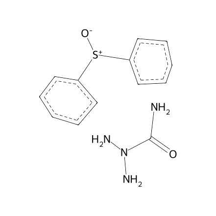 NC(=O)N(N)N.[O-][S+](c1ccccc1)c1ccccc1